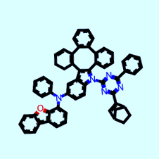 C1=CC2=C(CC1)c1c(n(-c3nc(C4=CC5CCC4C5)nc(-c4ccccc4)n3)c3ccc(N(c4ccccc4)c4cccc5c4oc4ccccc45)cc13)-c1ccccc1-c1ccccc12